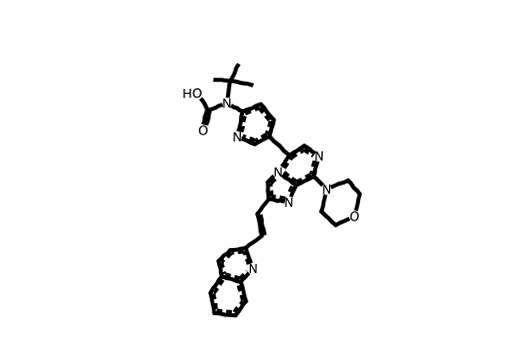 CC(C)(C)N(C(=O)O)c1ccc(-c2cnc(N3CCOCC3)c3nc(/C=C/c4ccc5ccccc5n4)cn23)cn1